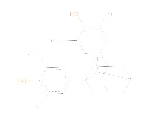 CC(C)c1cc(C23CC4CC(C2)C(C)C(c2cc(C=O)c(O)c(C(C)C)c2)(C4)C3)cc(C=O)c1O